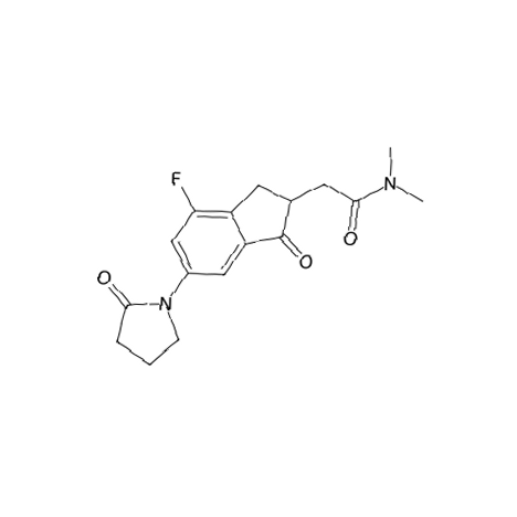 CN(C)C(=O)CC1Cc2c(F)cc(N3CCCC3=O)cc2C1=O